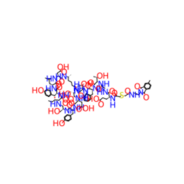 CC[C@H](C)[C@H](NC(=O)[C@H](CO)NC(=O)[C@H](Cc1ccc(O)cc1)NC(=O)[C@H](CC(=O)O)NC(=O)[C@H](CO)NC(=O)[C@@H](NC(=O)[C@H](Cc1ccccc1)NC(=O)[C@@H](NC(=O)CNC(=O)[C@H](CCC(=O)O)NC(=O)CSCC(=O)NCCN1C(=O)c2ccc(C)cc2C1=O)[C@@H](C)O)[C@@H](C)O)C(=O)N[C@@H](Cc1ccc(O)cc1)C(=O)N[C@@H](CC(C)C)C(=O)N[C@@H](CC(=O)O)C(=O)N[C@H](C)CCCCN